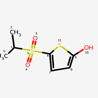 CC(C)S(=O)(=O)c1ccc(O)s1